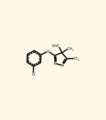 CC1(C=O)C(Oc2cccc(Cl)c2)=NN=C1C(F)(F)F